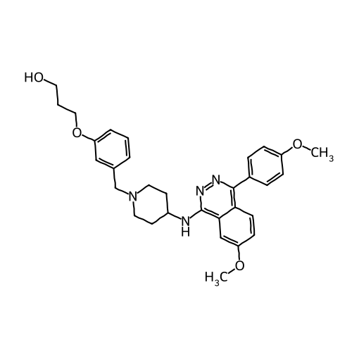 COc1ccc(-c2nnc(NC3CCN(Cc4cccc(OCCCO)c4)CC3)c3cc(OC)ccc23)cc1